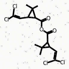 CC1(C)C(C=C(Cl)Cl)C1C(=O)OC(=O)C1C(C=C(Cl)Cl)C1(C)C